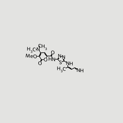 COc1c(N(C)C)cc(C(=O)Nc2nnc(N/C(C)=C\C=N)s2)oc1=O